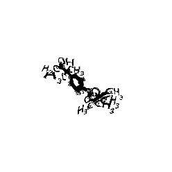 CC(O)C(C)(C)c1ccc(B2OC(C)(C)C(C)(C)O2)cc1